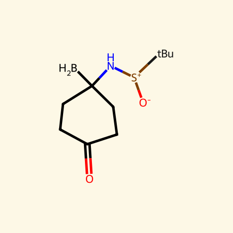 BC1(N[S+]([O-])C(C)(C)C)CCC(=O)CC1